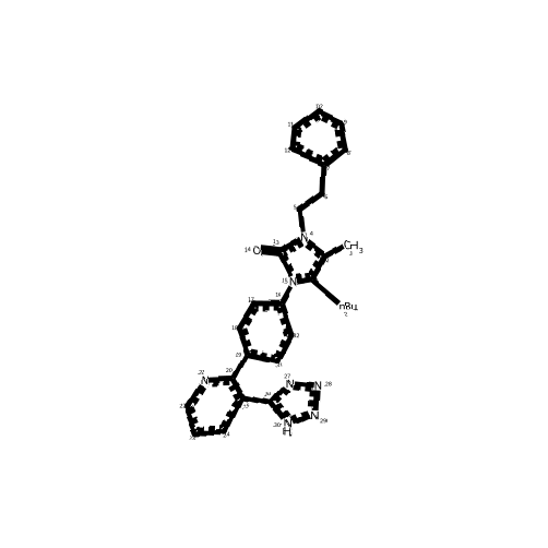 CCCCc1c(C)n(CCc2ccccc2)c(=O)n1-c1ccc(-c2ncccc2-c2nnn[nH]2)cc1